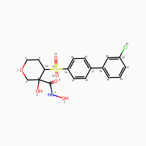 O=C(NO)C1(O)COCCC1S(=O)(=O)c1ccc(-c2cccc(Cl)c2)cc1